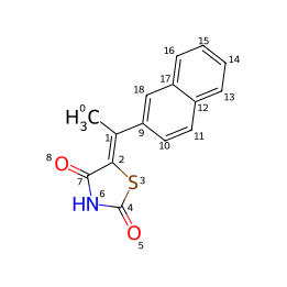 CC(=C1SC(=O)NC1=O)c1ccc2ccccc2c1